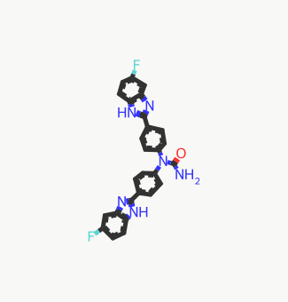 NC(=O)N(c1ccc(-c2nc3cc(F)ccc3[nH]2)cc1)c1ccc(-c2nc3cc(F)ccc3[nH]2)cc1